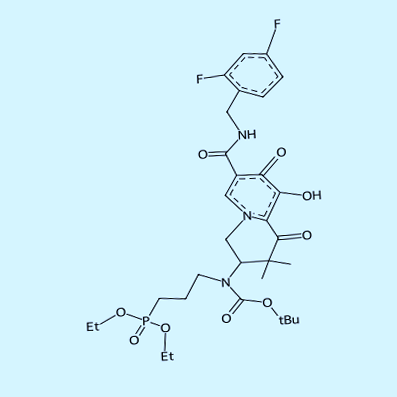 CCOP(=O)(CCCN(C(=O)OC(C)(C)C)C1Cn2cc(C(=O)NCc3ccc(F)cc3F)c(=O)c(O)c2C(=O)C1(C)C)OCC